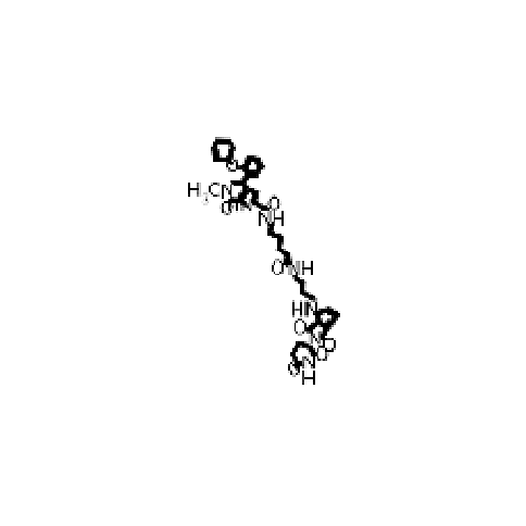 Cn1cc(-c2ccccc2Oc2ccccc2)c2cc(C(=O)NCCCCCC(=O)NCCCCNc3cccc4c3C(=O)N(C3CCC(=O)NC3=O)C4=O)[nH]c2c1=O